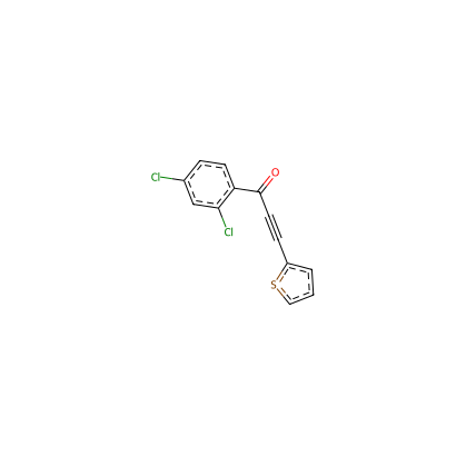 O=C(C#Cc1cccs1)c1ccc(Cl)cc1Cl